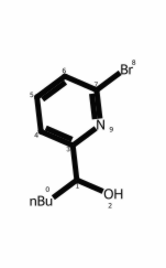 CCCCC(O)c1cccc(Br)n1